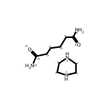 C1CNCCN1.NC(=O)CCCCC(N)=O